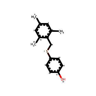 Cc1cc(C)c(CSc2ccc(O)cc2)c(C)c1